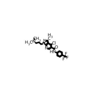 Cc1nn(CCCN(C)C)c2ncc(C(=O)Nc3ccc(C(F)(F)F)cc3)c(Cl)c12